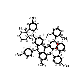 Cc1cc2c3c(c1)N(c1ccc(C(C)(C)C)cc1-c1ccccc1)c1ccc(-c4c(C)cccc4C)cc1B3c1ccc(N3c4ccc(C(C)(C)C)cc4C4(C)CCCCC34C)cc1N2c1ccc(C(C)(C)C)cc1